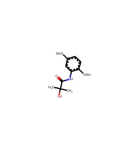 COc1ccc(OC)c(NC(=O)C(C)(C)O)c1